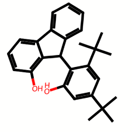 CC(C)(C)c1cc(O)c(C2c3ccccc3-c3cccc(O)c32)c(C(C)(C)C)c1